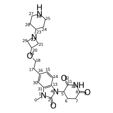 Cn1c(=O)n(C2CCC(=O)NC2=O)c2ccc(CCOC3CN(C4CCNCC4)C3)cc21